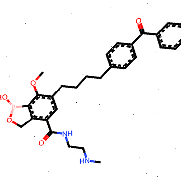 CNCCNC(=O)c1cc(CCCCc2ccc(C(=O)c3ccccc3)cc2)c(OC)c2c1COB2O